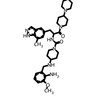 COc1cccc(CNC2CCN(C(=O)NC(Cc3cc(C)c4[nH]ncc4c3)C(=O)N3CCC(N4CCCCC4)CC3)CC2)c1N